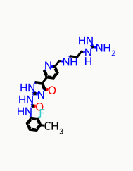 Cc1cccc(NC(=O)Nc2nc(=O)c(-c3ccc(CNCCCNC(=N)N)nc3)c[nH]2)c1F